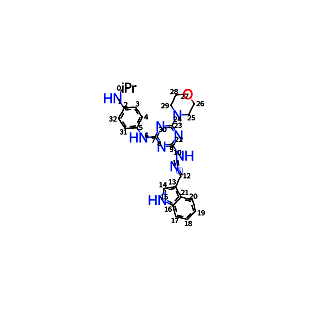 CC(C)Nc1ccc(Nc2nc(N/N=C/c3c[nH]c4ccccc34)nc(N3CCOCC3)n2)cc1